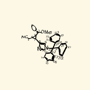 COC(=O)C1C(CC#N)C1c1cn(C(c2ccccc2)(c2ccccc2)c2ccccc2)cn1